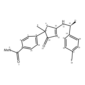 CNC(=O)c1ccc(C2(C)SC(N[C@@H](C)c3ccc(F)cc3)=NC2=O)cc1